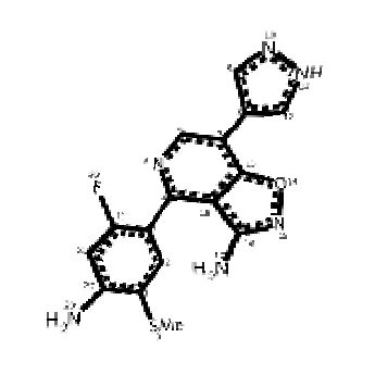 CSc1cc(-c2ncc(-c3cn[nH]c3)c3onc(N)c23)c(F)cc1N